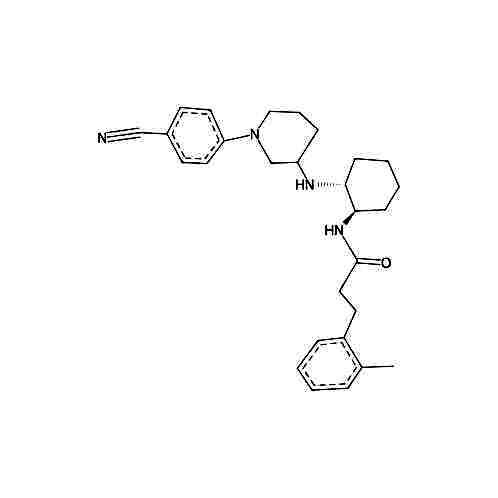 Cc1ccccc1CCC(=O)N[C@@H]1CCCC[C@H]1NC1CCCN(c2ccc(C#N)cc2)C1